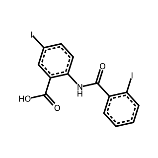 O=C(Nc1ccc(I)cc1C(=O)O)c1ccccc1I